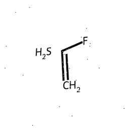 C=CF.S